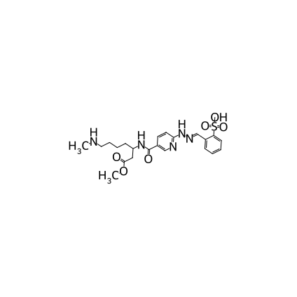 CNCCCCC(CC(=O)OC)NC(=O)c1ccc(NN=Cc2ccccc2S(=O)(=O)O)nc1